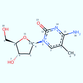 Cc1cn([13C@H]2C[C@H](O)[C@@H](CO)O2)c(=O)nc1N